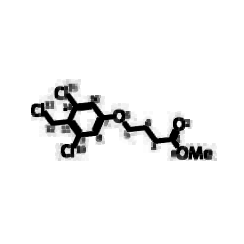 COC(=O)CCCOc1cc(Cl)c(CCl)c(Cl)c1